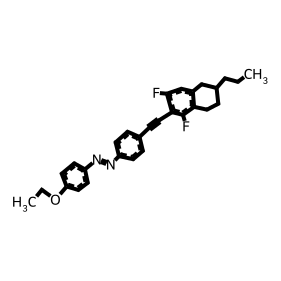 CCCC1CCc2c(cc(F)c(C#Cc3ccc(N=Nc4ccc(OCC)cc4)cc3)c2F)C1